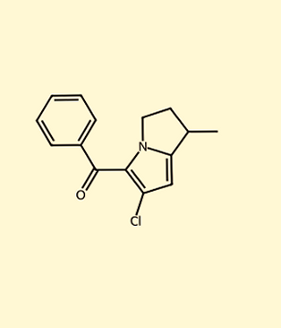 CC1CCn2c1cc(Cl)c2C(=O)c1ccccc1